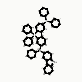 c1ccc(N(c2ccccc2)c2ccc3c(c2)-c2ccc(N(c4ccccc4)c4ccc5oc6ccccc6c5c4)cc2[Si]3(c2ccccc2)c2ccccc2)cc1